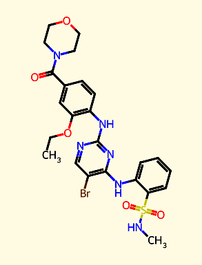 CCOc1cc(C(=O)N2CCOCC2)ccc1Nc1ncc(Br)c(Nc2ccccc2S(=O)(=O)NC)n1